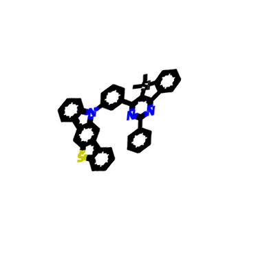 C[Si]1(C)c2ccccc2-c2nc(-c3ccccc3)nc(-c3cccc(-n4c5ccccc5c5cc6sc7ccccc7c6cc54)c3)c21